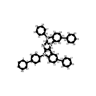 c1ccc(-c2ccc(-n3c4ccc(-c5ccccc5)cc4c4c3nc3n(-c5ccccc5)c5ccc(-c6ccccc6)cc5n43)cc2)cc1